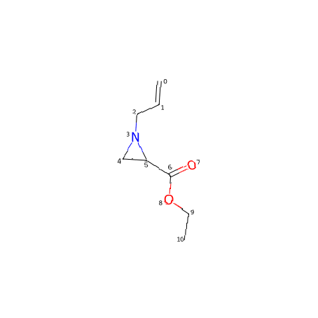 C=CCN1CC1C(=O)OCC